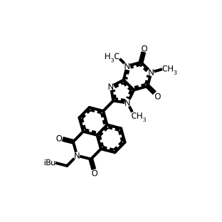 CCC(C)CN1C(=O)c2cccc3c(-c4nc5c(c(=O)n(C)c(=O)n5C)n4C)ccc(c23)C1=O